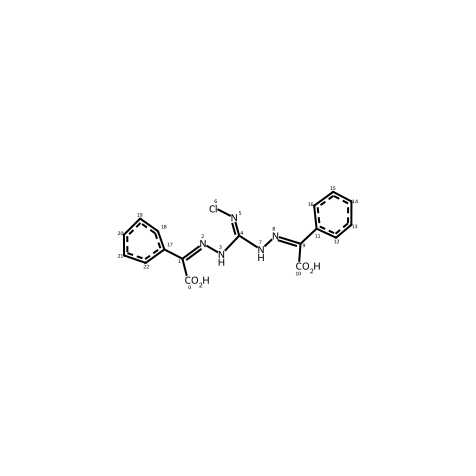 O=C(O)/C(=N\NC(=NCl)N/N=C(\C(=O)O)c1ccccc1)c1ccccc1